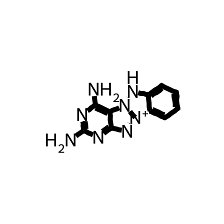 Nc1nc(N)c2c(n1)n[n+]1c3ccccc3[nH]n21